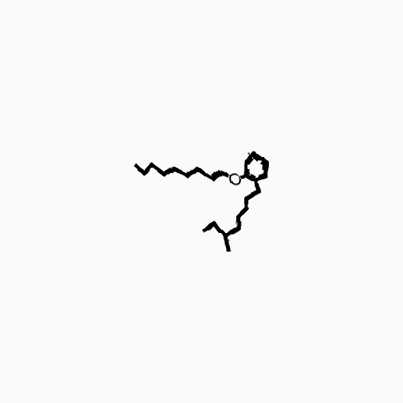 CCCCCCCC=COc1c[c]ccc1CCCCCC(C)CC